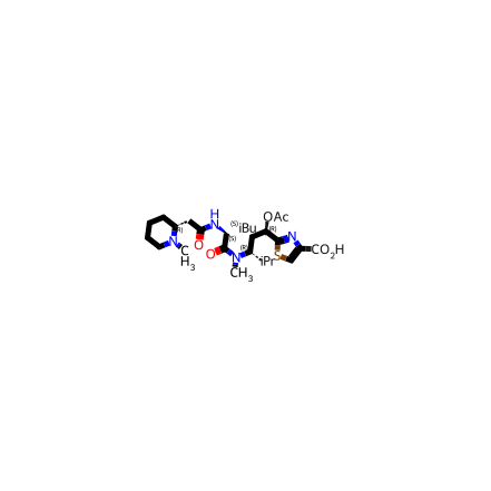 CC[C@H](C)[C@H](NC(=O)C[C@H]1CCCCN1C)C(=O)N(C)[C@H](C[C@@H](OC(C)=O)c1nc(C(=O)O)cs1)C(C)C